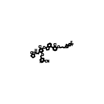 N#Cc1cncc(COc2cc(O[C@H]3CCc4c(-c5cccc(OCCCN6CC7(C6)CC(F)(F)C7)c5Cl)cccc43)c(Cl)cc2CN[C@H]2CCC[C@@H]2O)c1